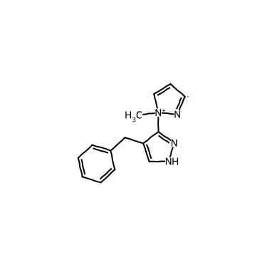 C[N+]1(c2n[nH]cc2Cc2ccccc2)C=C[C]=N1